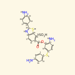 Nc1ccc(Sc2ccc(N)c(OC(=O)c3ccc4nc(-c5ccc(N)cc5)sc4c3S(=O)(=O)O)c2)cc1